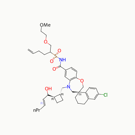 C=CCCC(COCCOC)S(=O)(=O)NC(=O)c1ccc2c(c1)N(C[C@@H]1CC[C@H]1C(O)/C=C/CCC)C[C@@]1(CCCc3cc(Cl)ccc31)CO2